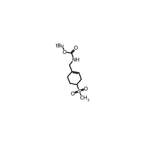 CC(C)(C)OC(=O)NCC1=CCC(S(C)(=O)=O)CC1